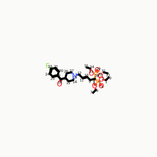 CCOP(=O)(OCC)C(C/C=C/CN1CCC(C(=O)c2ccc(F)cc2)CC1)P(=O)(OCC)OCC